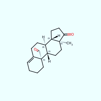 C[C@]12CC[C@H]3[C@@H](CCC4=CCCC[C@@]43C=O)[C@@H]1CCC2=O